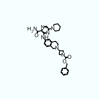 NC(=O)c1ncc(N2CCCCC2)nc1Nc1ccc2c(c1)CCN(C1CN(C(=O)OCc3ccccc3)C1)C2